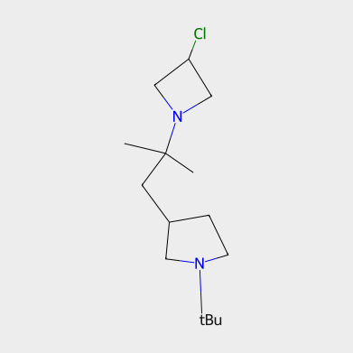 CC(C)(C)N1CCC(CC(C)(C)N2CC(Cl)C2)C1